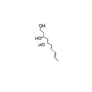 C/C=C/CC[C@H](O)C[C@@H](O)CCO